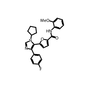 COc1ccccc1NC(=O)c1ccc(-c2c(-c3ccc(F)cc3)ncn2C2CCCC2)o1